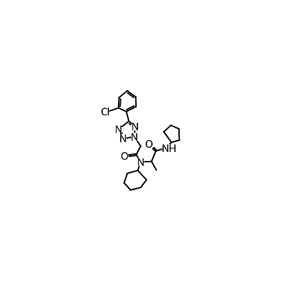 CC(C(=O)NC1CCCC1)N(C(=O)Cn1nnc(-c2ccccc2Cl)n1)C1CCCCC1